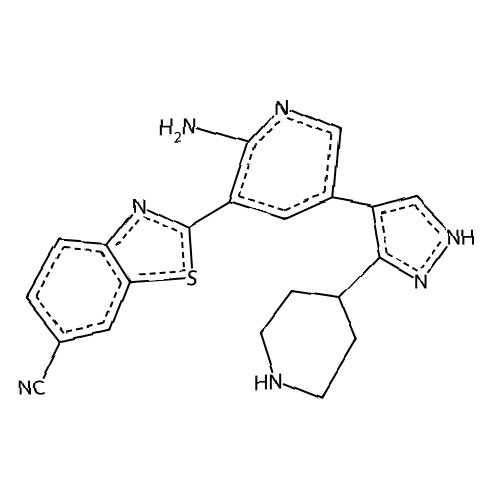 N#Cc1ccc2nc(-c3cc(-c4c[nH]nc4C4CCNCC4)cnc3N)sc2c1